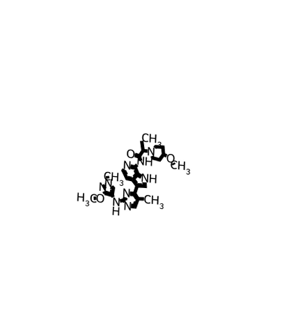 CCC(C(=O)Nc1nccc2c(-c3nc(Nc4cn(C)nc4OC)ncc3C)c[nH]c12)N1CCC(OC)CC1